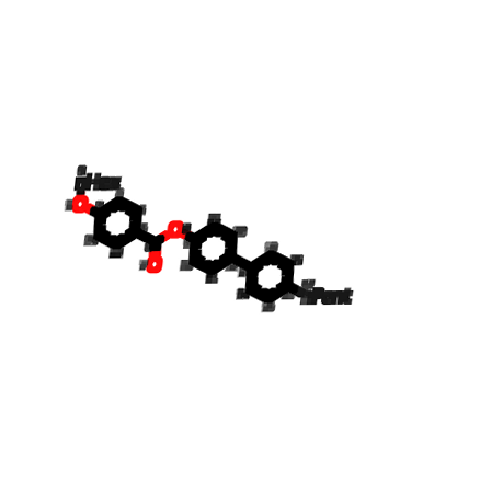 CCCCCCOc1ccc(C(=O)Oc2ccc(-c3ccc(CCCCC)cc3)cc2)cc1